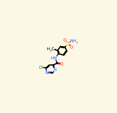 Cc1cc(S(N)(=O)=O)ccc1NC(=O)c1cc(Cl)ncn1